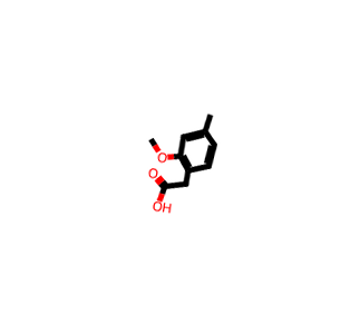 COc1cc(C)ccc1CC(=O)O